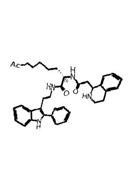 CC(=O)CCCCC[C@H](NC(=O)CC1NCCc2ccccc21)C(=O)NCCc1c(-c2ccccc2)[nH]c2ccccc12